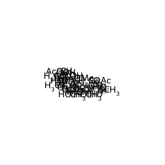 CO[C@H](C(=O)[C@@H](O)[C@@H](C)OC(C)=O)[C@@H]1Cc2cc3cc(O[C@H]4CC(O[C@H]5C[C@@H](O)CC(C)O5)[C@@H](OC(C)=O)C(C)O4)c(C)c(O)c3c(O)c2C(=O)[C@H]1O[C@H]1C[C@@H](O[C@H]2C[C@@H](O[C@H]3C[C@@](C)(O)[C@@H](OC(C)=O)C(C)O3)[C@H](O)C(C)O2)[C@H](O)C(C)O1